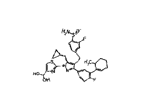 CC1CCCC=C1c1cc(-c2nn(-c3nc(C(O)O)cs3)c(CC3CC3)c2Cc2ccc([S+](N)[O-])c(F)c2)ccc1F